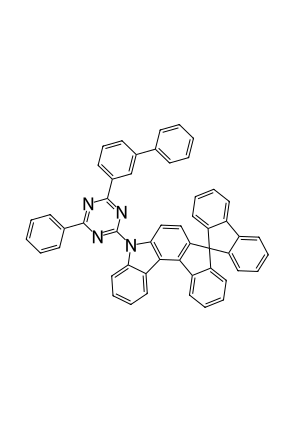 c1ccc(-c2cccc(-c3nc(-c4ccccc4)nc(-n4c5ccccc5c5c6c(ccc54)C4(c5ccccc5-c5ccccc54)c4ccccc4-6)n3)c2)cc1